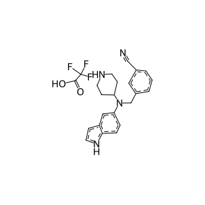 N#Cc1cccc(CN(c2ccc3[nH]ccc3c2)C2CCNCC2)c1.O=C(O)C(F)(F)F